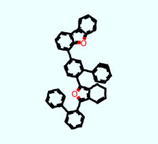 c1cccc(-c2cc(-c3cccc4c3oc3ccccc34)ccc2-c2oc(-c3ccccc3-c3ccccc3)c3c2CCC=C3)c#1